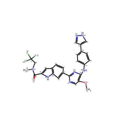 COc1cnc(-c2ccc3cc(C(=O)N(C)CC(F)(F)F)[nH]c3c2)nc1Nc1ccc(-c2cn[nH]c2)cc1